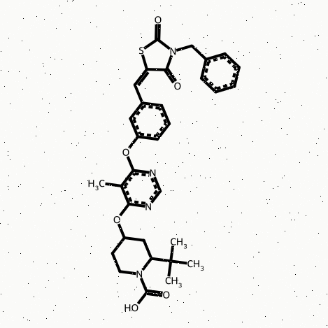 Cc1c(Oc2cccc(C=C3SC(=O)N(Cc4ccccc4)C3=O)c2)ncnc1OC1CCN(C(=O)O)C(C(C)(C)C)C1